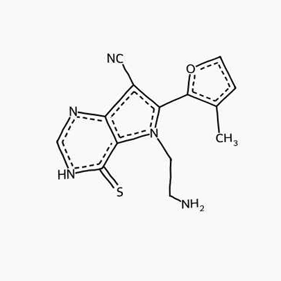 Cc1ccoc1-c1c(C#N)c2nc[nH]c(=S)c2n1CCN